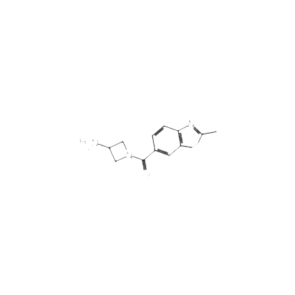 Cc1nc2ccc(C(=O)N3CC(N)C3)cc2s1